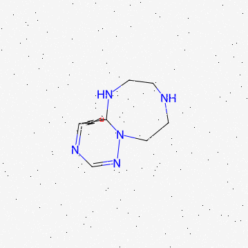 C1=CC2=NC=NN3CCNCCNC23C=C1